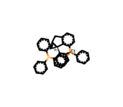 CCc1cccc(P(c2ccccc2)c2ccccc2)c1[C@@]12C=C1Cc1cccc(P(c3ccccc3)c3ccccc3)c12